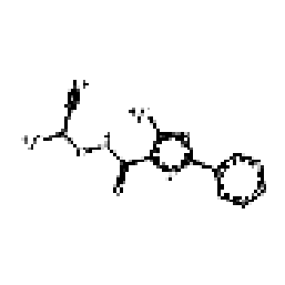 C#CC(C)ONC(=O)c1sc(-c2cccnc2)nc1C